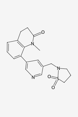 CN1C(=O)CCc2cccc(-c3cncc(CN4CCCS4(=O)=O)c3)c21